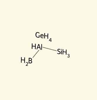 [BH2][AlH][SiH3].[GeH4]